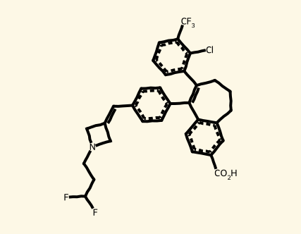 O=C(O)c1ccc2c(c1)CCCC(c1cccc(C(F)(F)F)c1Cl)=C2c1ccc(C=C2CN(CCC(F)F)C2)cc1